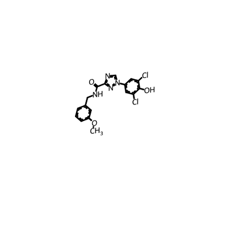 COc1cccc(CNC(=O)c2ncn(-c3cc(Cl)c(O)c(Cl)c3)n2)c1